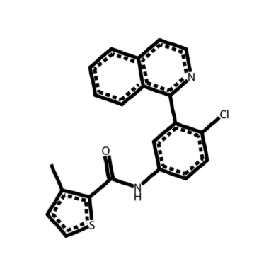 Cc1ccsc1C(=O)Nc1ccc(Cl)c(-c2nccc3ccccc23)c1